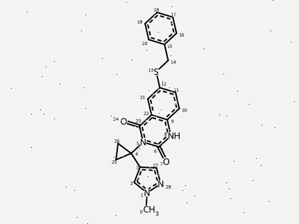 Cn1cc(C2(n3c(=O)[nH]c4ccc(SCc5ccccc5)cc4c3=O)CC2)cn1